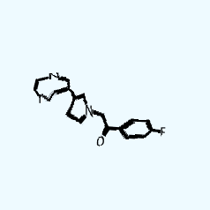 O=C(CN1CCC(c2cnccn2)C1)c1ccc(F)cc1